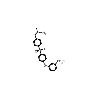 CCOC(=O)c1cccc(Oc2ccc(S(=O)(=O)c3ccc(C[C@@H](C)N)cc3)cc2)c1